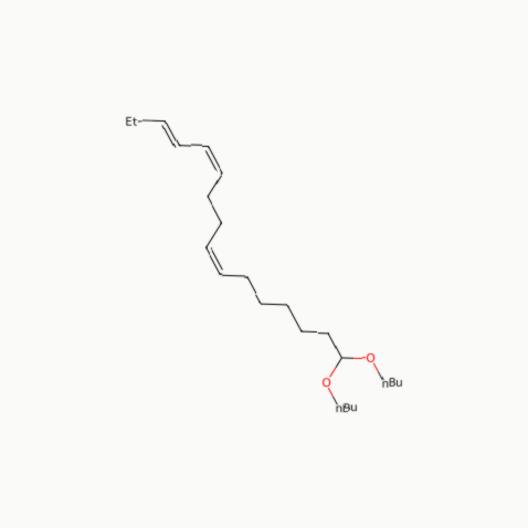 CC/C=C/C=C\CC/C=C\CCCCCC(OCCCC)OCCCC